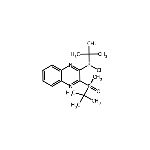 CC(C)(C)P(Cl)c1nc2ccccc2nc1[P@](C)(=O)C(C)(C)C